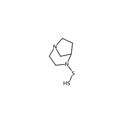 SSN1CCN2CCC1C2